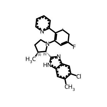 Cc1cc2[nH]c([C@@H]3[C@@H](C)CCN3C3=C(c4ccccn4)[CH]CC(F)=C3)nc2cc1Cl